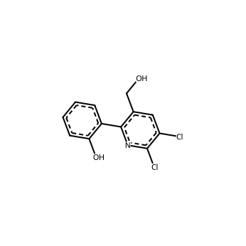 OCc1cc(Cl)c(Cl)nc1-c1ccccc1O